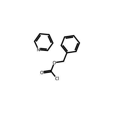 O=C(Cl)OCc1ccccc1.c1ccncc1